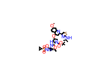 C=C[C@@H]1C[C@]1(NC(=O)[C@@H]1C[C@@H](Oc2cc(-c3csc(NC(C)C)n3)nc3cc(OC)ccc23)CN1C(=O)OC(C)(C)C)C(=O)NS(=O)(=O)C1CC1